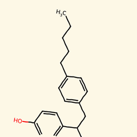 CCCCCc1ccc(CC(C)c2ccc(O)cc2)cc1